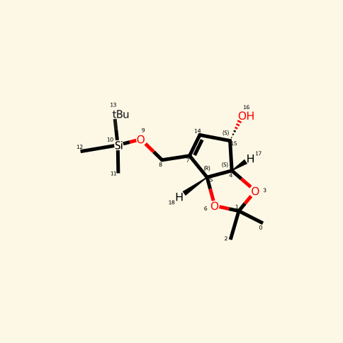 CC1(C)O[C@@H]2[C@H](O1)C(CO[Si](C)(C)C(C)(C)C)=C[C@@H]2O